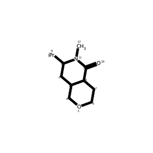 CC(C)C1CC2COCCC2C(=O)N1C